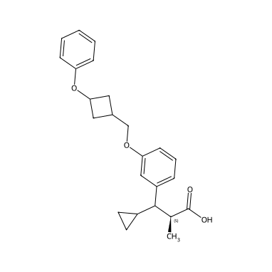 C[C@H](C(=O)O)C(c1cccc(OCC2CC(Oc3ccccc3)C2)c1)C1CC1